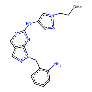 COCCn1cc(Nc2ncc3cnn(Cc4ccccc4N)c3n2)cn1